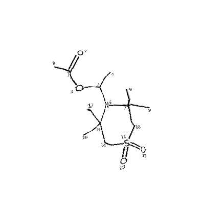 CC(=O)OC(C)N1C(C)(C)CS(=O)(=O)CC1(C)C